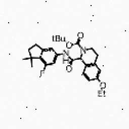 CCOc1ccc2c(c1)CCN(C(=O)OC(C)(C)C)C2C(=O)Nc1cc(F)c2c(c1)CCC2(C)C